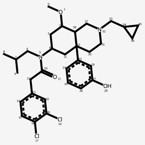 COC1CC(N(CC(C)C)C(=O)Cc2ccc(Cl)c(Cl)c2)CC2(c3cccc(O)c3)CCN(CC3CC3)CC12